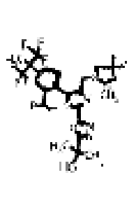 C[C@H]1CC(F)(F)CN1Cc1nc(-c2nnc(C(C)(C)O)o2)sc1-c1ccc(C(C)(C(F)(F)F)C(F)(F)F)cc1C(F)F